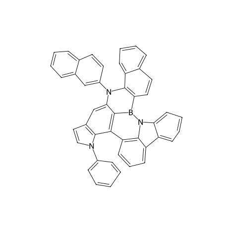 c1ccc(-n2ccc3cc4c5c(c32)-c2cccc3c6ccccc6n(c23)B5c2ccc3ccccc3c2N4c2ccc3ccccc3c2)cc1